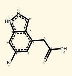 O=C(O)Cc1cc(Br)cc2[nH]ncc12